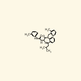 Cc1cccc(NC(=O)NC2N=C(CC(C)C)c3ccccc3N(Cc3ncccc3C)C2=O)c1